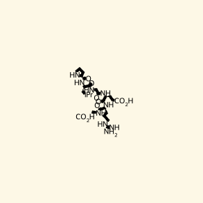 CC(C)C[C@H](NC(=O)[C@@H]1CCCN1)C(=O)NCC(=O)N[C@@H](CCC(=O)O)C(=O)N[C@@H](CCCNC(=N)N)C(=O)NCC(=O)O